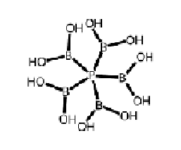 OB(O)P(B(O)O)(B(O)O)(B(O)O)B(O)O